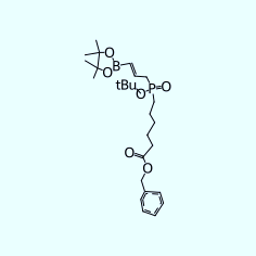 CC(C)(C)OP(=O)(C/C=C/B1OC(C)(C)C(C)(C)O1)CCCCCC(=O)OCc1ccccc1